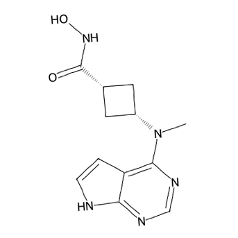 CN(c1ncnc2[nH]ccc12)[C@H]1C[C@@H](C(=O)NO)C1